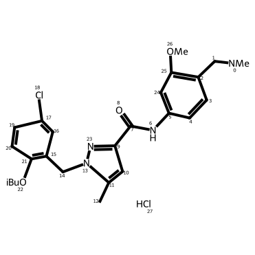 CNCc1ccc(NC(=O)c2cc(C)n(Cc3cc(Cl)ccc3OCC(C)C)n2)cc1OC.Cl